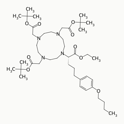 CCCCOc1ccc(CCC[C@@H](C(=O)OCC)N2CCN(CC(=O)OC(C)(C)C)CCN(CC(=O)OC(C)(C)C)CCN(CC(=O)OC(C)(C)C)CC2)cc1